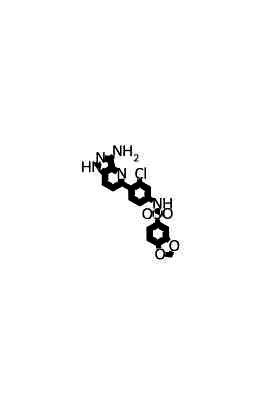 Nc1n[nH]c2ccc(-c3ccc(NS(=O)(=O)c4ccc5c(c4)OCO5)cc3Cl)nc12